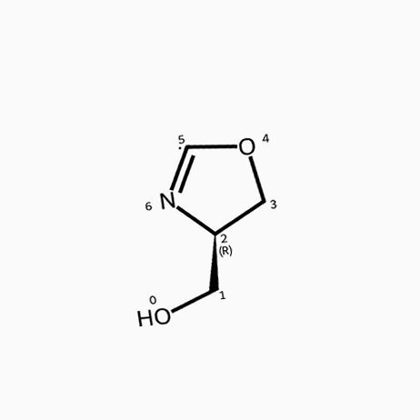 OC[C@@H]1CO[C]=N1